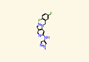 Cn1cc(Nc2cc3c(cn2)cnn3Cc2cc(F)ccc2F)cn1